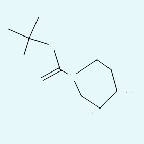 C[C@@H]1CN(C(=O)OC(C)(C)C)CC[C@@H]1F